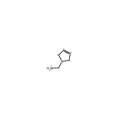 NCN1CC=CC1